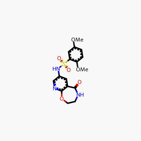 COc1ccc(OC)c(S(=O)(=O)Nc2cnc3c(c2)C(=O)NCCO3)c1